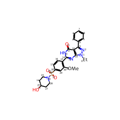 CCn1nc(-c2ccccc2)c2c(=O)[nH]c(-c3ccc(S(=O)(=O)N4CCC(O)CC4)cc3OC)nc21